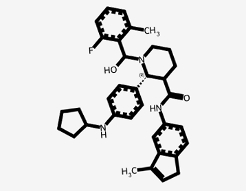 CC1=CCc2ccc(NC(=O)C3CCCN(C(O)c4c(C)cccc4F)[C@H]3c3ccc(NC4CCCC4)cc3)cc21